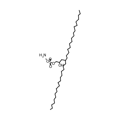 CCCCCCCCCCCCCCCCCCC(CCCCCCCCCCCCCCCCCC)CC(O)COS(=O)(=O)OC.N